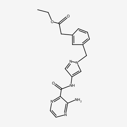 CCOC(=O)Cc1cccc(Cn2cc(NC(=O)c3nccnc3N)cn2)c1